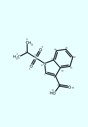 CC(C)S(=O)(=O)n1cc(C(=O)O)c2ccccc21